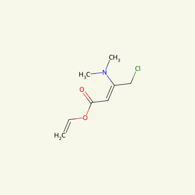 C=COC(=O)C=C(CCl)N(C)C